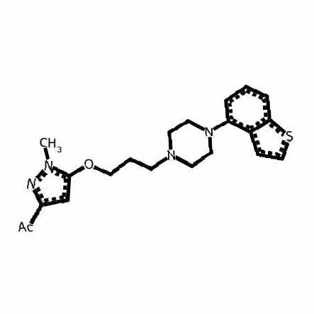 CC(=O)c1cc(OCCCN2CCN(c3cccc4sccc34)CC2)n(C)n1